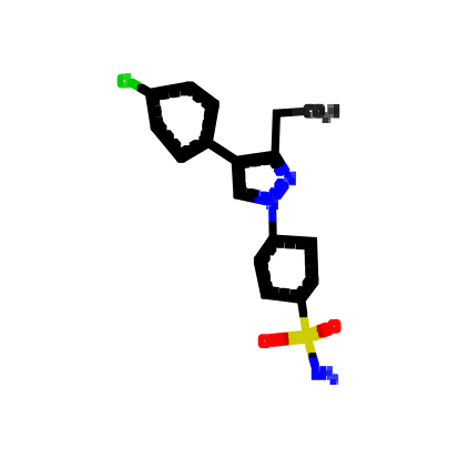 NS(=O)(=O)c1ccc(-n2cc(-c3ccc(Cl)cc3)c(CC(=O)O)n2)cc1